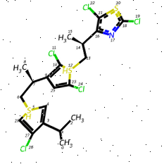 CC(C)C1=C[SH](C[C@@H](C)C2=C(Cl)[SH](C[C@@H](C)c3nc(Cl)sc3Cl)C(Cl)=C2)C=C1Cl